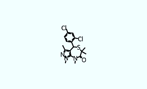 Cc1nn(C)c2c1C(c1ccc(Cl)cc1Cl)SC(C)(C)C(=O)N2C